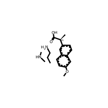 CCCN.CNC.COc1ccc2cc([C@H](C)C(=O)O)ccc2c1